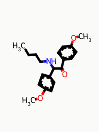 CCCCNC(C(=O)c1ccc(OC)cc1)c1ccc(OC)cc1